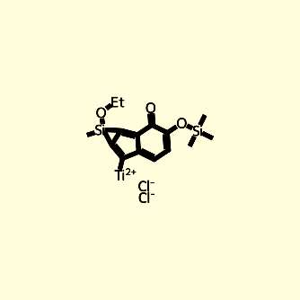 CCO[Si]1(C)C2=[C]([Ti+2])C3=CC=C(O[Si](C)(C)C)C(=O)C3=C21.[Cl-].[Cl-]